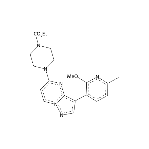 CCOC(=O)N1CCN(c2ccn3ncc(-c4ccc(C)nc4OC)c3n2)CC1